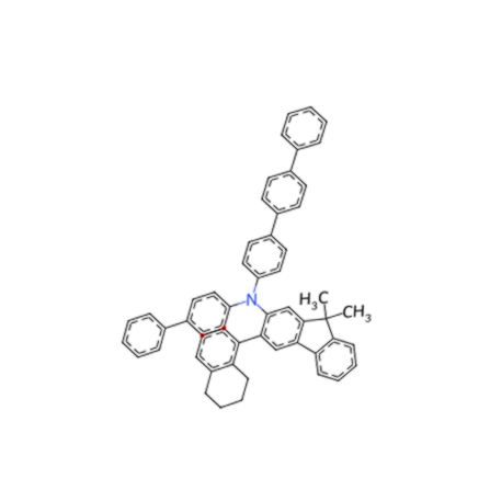 CC1(C)c2ccccc2-c2cc(-c3cccc4c3CCCC4)c(N(c3ccc(-c4ccccc4)cc3)c3ccc(-c4ccc(-c5ccccc5)cc4)cc3)cc21